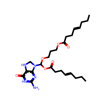 CCCC=CCCC(=O)OCCCOC(OC(=O)CCC=CCCC)N1CNc2c1nc(N)[nH]c2=O